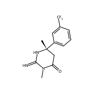 CN1C(=N)N[C@](C)(c2cccc(C(F)(F)F)c2)CC1=O